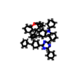 c1ccc(-c2ccc(-c3nc(-c4ccccc4)nc(-c4cccc5c4c4cc6c(cc4n5-c4ccccc4)C4(c5ccccc5Oc5ccccc54)c4ccccc4-6)n3)cc2)cc1